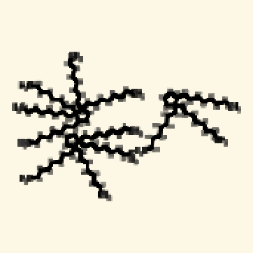 CCCCCCCCC1(CCCCCCCC)CCCC1(CCCCCCCC)CCCCCCCC.CCCCCCCCC1CCC(CCCCCCCC)(CCCCCCCC)C1(CCCCCCCC)CCCCCCCC.CCCCCCCCC1CCCC1(CCCCCCCC)CCCCCCCC